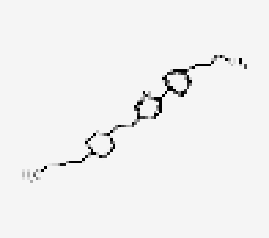 CCCCCC1CCC(CCc2ccc(-c3ccc(CCCC)cc3)nc2)CC1